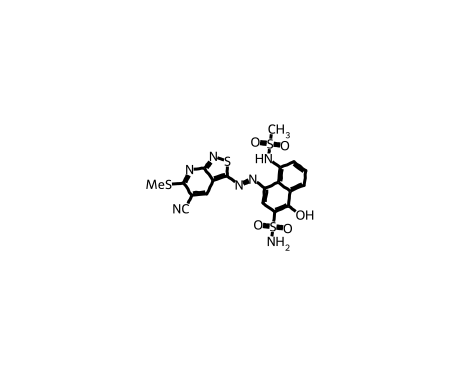 CSc1nc2nsc(/N=N/c3cc(S(N)(=O)=O)c(O)c4cccc(NS(C)(=O)=O)c34)c2cc1C#N